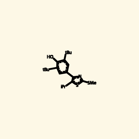 CSc1nc(-c2cc(C(C)(C)C)c(O)c(C(C)(C)C)c2)c(C(C)C)s1